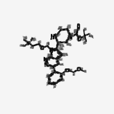 COCOc1ccccc1-c1cc2cc(C3CN(C(=O)OC(C)(C)C)CCN3)n(COCC[Si](C)(C)C)c2nn1